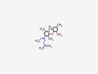 CCN(CCN(C)C)c1cc(C)nc(Oc2c(C)cc(C)cc2C)c1C